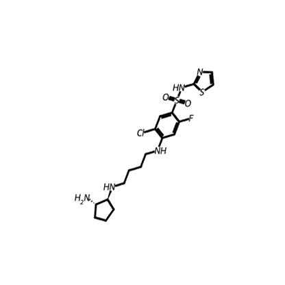 N[C@H]1CCC[C@@H]1NCCCCNc1cc(F)c(S(=O)(=O)Nc2nccs2)cc1Cl